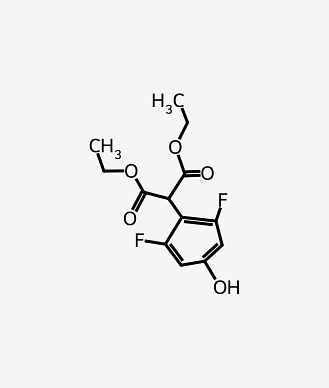 CCOC(=O)C(C(=O)OCC)c1c(F)cc(O)cc1F